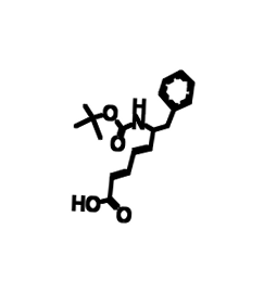 CC(C)(C)OC(=O)NC(C=CC=CC(=O)O)Cc1ccccc1